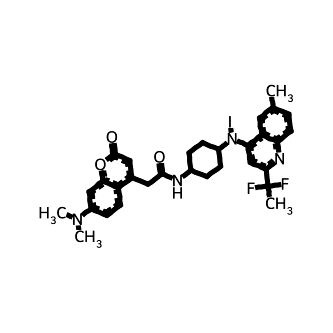 Cc1ccc2nc(C(C)(F)F)cc(N(I)C3CCC(NC(=O)Cc4cc(=O)oc5cc(N(C)C)ccc45)CC3)c2c1